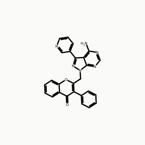 Nc1ncnc2c1c(-c1cccnc1)nn2Cc1oc2ccccc2c(=O)c1-c1ccccc1